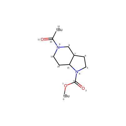 CC(C)(C)OC(=O)N1CCC2CN(C(=O)C(C)(C)C)CCC21